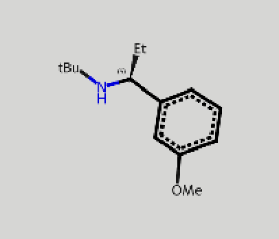 CC[C@H](NC(C)(C)C)c1cccc(OC)c1